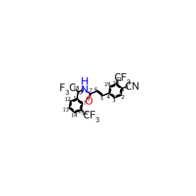 N#Cc1ccc(C=CC(=O)NC(c2cccc(C(F)(F)F)c2)C(F)(F)F)cc1C(F)(F)F